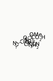 CO[C@@H]1C[C@H](S(=O)(=O)c2ccc(-c3cncc(C)c3)cc2C(F)(F)F)C[C@@]1(C(=O)O)C1CC1(C#N)C(N)=O